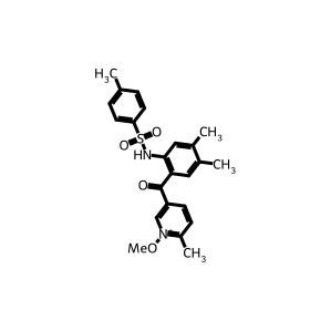 CO[n+]1cc(C(=O)c2cc(C)c(C)cc2NS(=O)(=O)c2ccc(C)cc2)ccc1C